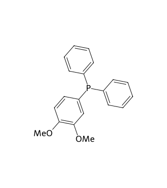 COc1ccc(P(c2ccccc2)c2ccccc2)cc1OC